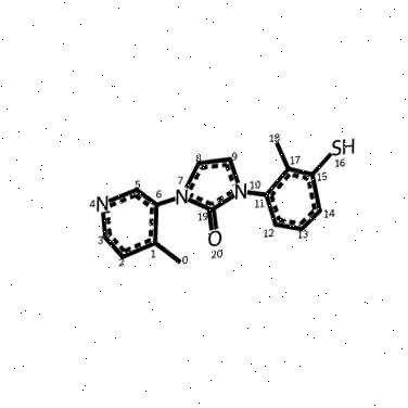 Cc1ccncc1-n1ccn(-c2cccc(S)c2C)c1=O